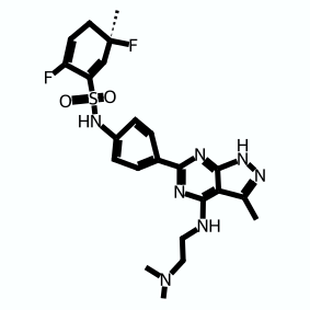 Cc1n[nH]c2nc(-c3ccc(NS(=O)(=O)C4=C[C@](C)(F)CC=C4F)cc3)nc(NCCN(C)C)c12